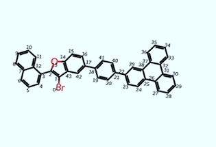 Brc1c(-c2cccc3ccccc23)oc2ccc(-c3ccc(-c4ccc5c6ccccc6c6ccccc6c5c4)cc3)cc12